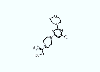 C=C(OC(C)(C)C)N1CCN(c2cc(Cl)nc(N3CCOCC3)n2)CC1